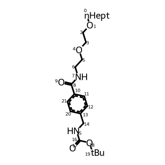 CCCCCCCOCCOCCNC(=O)c1ccc(CNC(=O)OC(C)(C)C)cc1